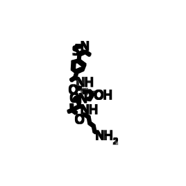 Cc1ncsc1-c1ccc(C(C)NC(=O)[C@@H]2C[C@@H](O)CN2C(=O)C(NC(=O)CCCCN)C(C)(C)C)cc1